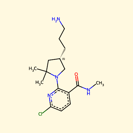 CNC(=O)c1ccc(Cl)nc1N1C[C@@H](CCCN)CC1(C)C